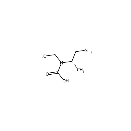 CCN(C(=O)O)[C@@H](C)CN